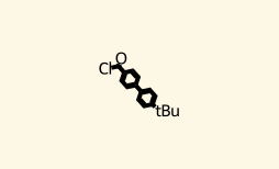 CC(C)(C)c1ccc(-c2ccc(C(=O)Cl)cc2)cc1